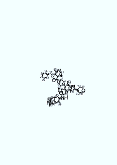 CCc1c(N2CCN(C(=O)c3ncnc(C)c3OCc3ccccc3)CC2)c(=O)n2nc(C3=CCOCC3)nc2n1CC(=O)Nc1ccc(S(F)(F)(F)(F)F)cc1C